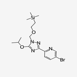 CC(C)Oc1nc(-c2ccc(Br)cn2)nn1COCC[Si](C)(C)C